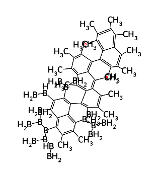 BBB(B)B(B(B)B)c1c(C)c(C)c(B(B)B(B)B)c2c(-c3c(C)c(C)c(C)c4c(C)c5c(-c6c(C)c(C)c(C)c7c(C)c(C)c(C)c(C)c67)c(C)c(C)c(C)c5c(C)c34)c(B(B)B)c(BB)c(B)c12